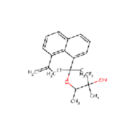 C=C(C)c1cccc2cccc(C(C)(CC)OC(C)C(C)(O)C(F)(F)F)c12